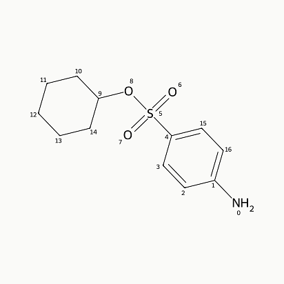 Nc1ccc(S(=O)(=O)OC2CCCCC2)cc1